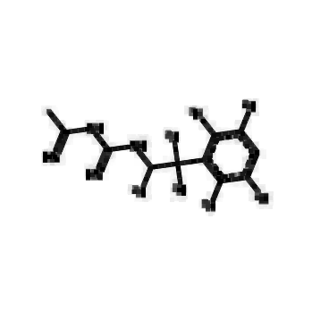 [2H]c1cc([2H])c([2H])c(C([2H])([2H])C([2H])NC(=N)NC(C)=N)c1[2H]